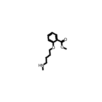 CNCCCCOc1ccccc1C(=O)OC